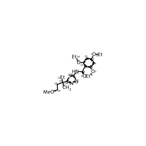 CCOc1cc(OCC)c(C(=O)Nc2nnc(C(C)(CC)CCOC)s2)c(OCC)c1